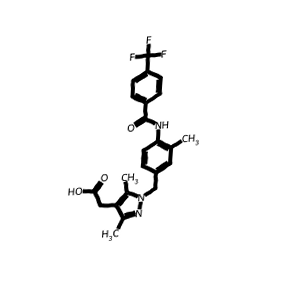 Cc1cc(Cn2nc(C)c(CC(=O)O)c2C)ccc1NC(=O)c1ccc(C(F)(F)F)cc1